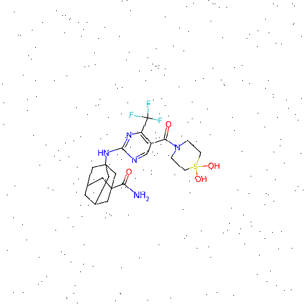 NC(=O)C12CC3CC(CC(Nc4ncc(C(=O)N5CCS(O)(O)CC5)c(C(F)(F)F)n4)(C3)C1)C2